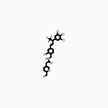 O=C(Cc1ccc(CF)nc1)NCc1ccc(/C=C/C(c2cc(Cl)c(Cl)c(Cl)c2)C(F)(F)F)cc1Cl